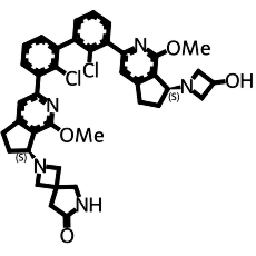 COc1nc(-c2cccc(-c3cccc(-c4cc5c(c(OC)n4)[C@@H](N4CC6(CNC(=O)C6)C4)CC5)c3Cl)c2Cl)cc2c1[C@@H](N1CC(O)C1)CC2